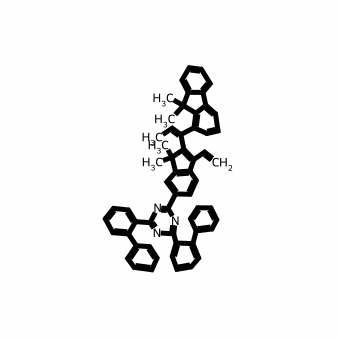 C=CC1=C(/C(=C\C)c2cccc3c2C(C)(C)c2ccccc2-3)C(C)(C)c2cc(-c3nc(-c4ccccc4-c4ccccc4)nc(-c4ccccc4-c4ccccc4)n3)ccc21